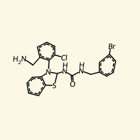 NCc1cccc(Cl)c1N1c2ccccc2SC1NC(=O)NCc1cccc(Br)c1